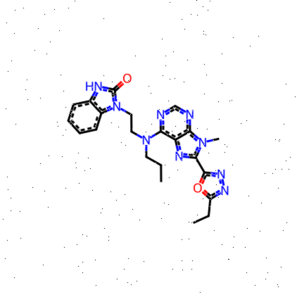 CCCN(CCn1c(=O)[nH]c2ccccc21)c1ncnc2c1nc(-c1nnc(CC)o1)n2C